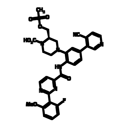 COc1cccc(F)c1-c1nccc(C(=O)Nc2ccc(-c3cnccc3C#N)cc2N2CCN(C(=O)O)[C@@H](COS(C)(=O)=O)C2)n1